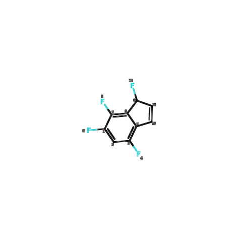 Fc1cc(F)c2c(c1F)C(F)C=C2